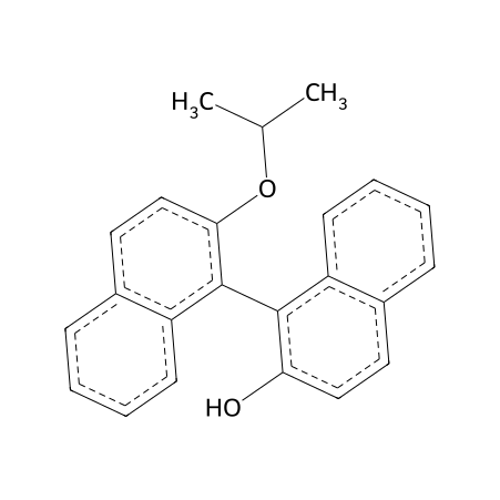 CC(C)Oc1ccc2ccccc2c1-c1c(O)ccc2ccccc12